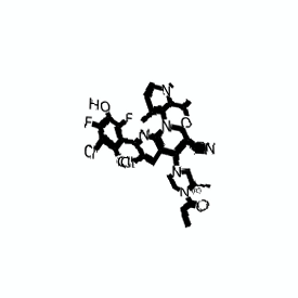 C=CC(=O)N1CCN(c2c(C#N)c(=O)n(C3=C(C)C=CN(C)C3C(C)C)c3nc(-c4c(F)c(O)c(F)c(Cl)c4Cl)c(Cl)cc23)C[C@H]1C